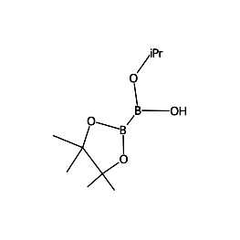 CC(C)OB(O)B1OC(C)(C)C(C)(C)O1